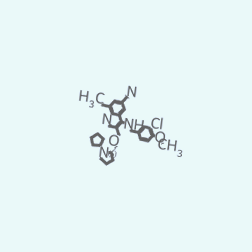 CCc1cc(C#N)cc2c(NCc3ccc(OC)c(Cl)c3)c(COC[C@@H]3CCCN3C3CCCC3)cnc12